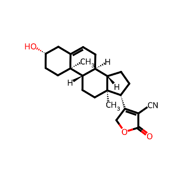 C[C@]12CC[C@H]3[C@@H](CC=C4C[C@@H](O)CC[C@@]43C)[C@@H]1CC[C@@H]2C1=C(C#N)C(=O)OC1